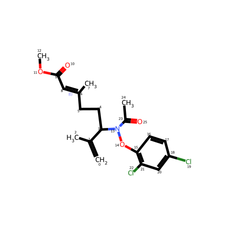 C=C(C)C(CC/C(C)=C/C(=O)OC)N(Oc1ccc(Cl)cc1Cl)C(C)=O